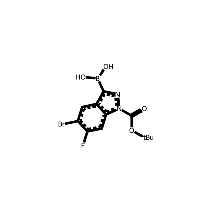 CC(C)(C)OC(=O)n1nc(B(O)O)c2cc(Br)c(F)cc21